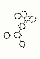 c1ccc(-c2cc(-c3ccccc3)nc(-c3ccc(-n4c5ccccc5c5ccc6ccccc6c54)cn3)c2)cc1